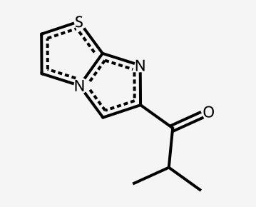 CC(C)C(=O)c1cn2ccsc2n1